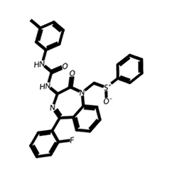 Cc1cccc(NC(=O)NC2N=C(c3ccccc3F)c3ccccc3N(C[S+]([O-])c3ccccc3)C2=O)c1